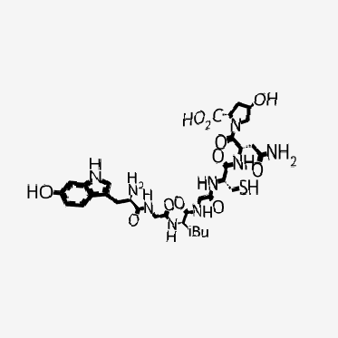 CC[C@H](C)[C@H](NC(=O)CNC(=O)[C@@H](N)Cc1c[nH]c2cc(O)ccc12)C(=O)NCC(=O)N[C@@H](CS)C(=O)N[C@@H](CC(N)=O)C(=O)N1C[C@H](O)C[C@H]1C(=O)O